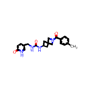 Cc1ccc(C(=O)N2CC3(CC(NC(=O)NCc4ccc(=O)[nH]c4)C3)C2)cc1